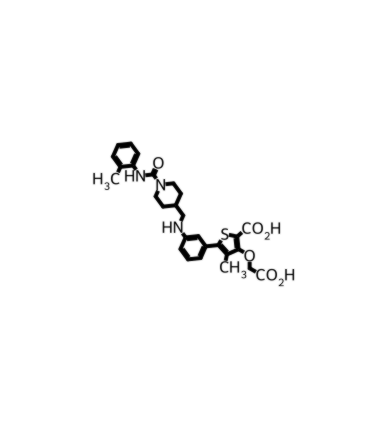 Cc1ccccc1NC(=O)N1CCC(CNc2cccc(-c3sc(C(=O)O)c(OCC(=O)O)c3C)c2)CC1